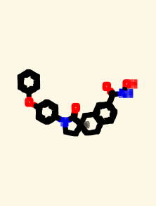 O=C(NO)c1ccc2c(c1)C[C@@]1(CC2)CCN(c2ccc(Oc3ccccc3)cc2)C1=O